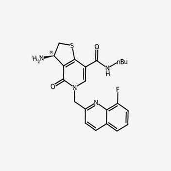 CCCCNC(=O)c1cn(Cc2ccc3cccc(F)c3n2)c(=O)c2c1SC[C@@H]2N